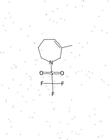 CC1=CCCCN(S(=O)(=O)C(F)(F)F)C1